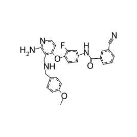 COc1ccc(CNCc2c(Oc3ccc(NC(=O)c4cccc(C#N)c4)cc3F)ccnc2N)cc1